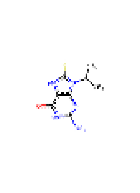 CC(C)n1c(=S)[nH]c2c(=O)[nH]c(N)nc21